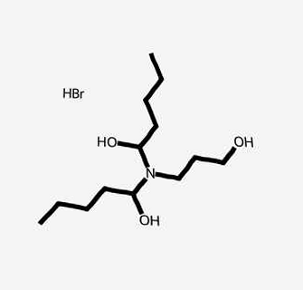 Br.CCCCC(O)N(CCCO)C(O)CCCC